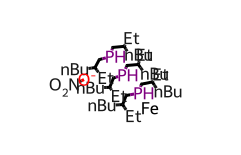 CCCCC(CC)CPCC(CC)CCCC.CCCCC(CC)CPCC(CC)CCCC.CCCCC(CC)CPCC(CC)CCCC.O=[N+]([O-])[O-].[Fe]